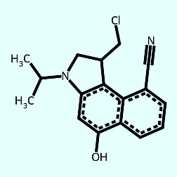 CC(C)N1CC(CCl)c2c1cc(O)c1cccc(C#N)c21